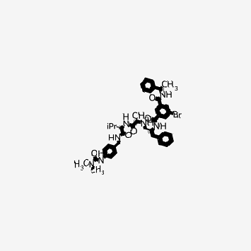 CC(C)[C@H](NC(=O)[C@H](C)NC[C@H](Cc1ccccc1)NC(=O)c1cc(Br)cc(C(=O)N[C@H](C)c2ccccc2)c1)C(=O)NCc1ccc(NC(=O)N(C)C)cc1